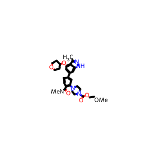 CNC(=O)c1ccc(-c2cc(OC3CCOCC3)c3c(C)n[nH]c3c2)cc1N1CCN(C(=O)OCCOC)CC1